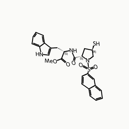 COC(=O)[C@H](Cc1c[nH]c2ccccc12)NC(=O)[C@@H]1C[C@@H](S)CN1S(=O)(=O)c1ccc2ccccc2c1